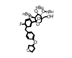 CCCCOC1[C@@H](OCCCC)[C@H](OCCCC)C2(CO)COC1(c1ccc(F)c(Cc3ccc(OC4CCOC4)cc3)c1)O2